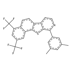 Cc1cc(C)cc(-c2nccc3c2sc2c4cc(C(F)(F)F)cc(C(F)(F)F)c4ccc32)c1